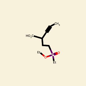 CC#CC(CCP(=O)(CC)OCC)C(=O)O